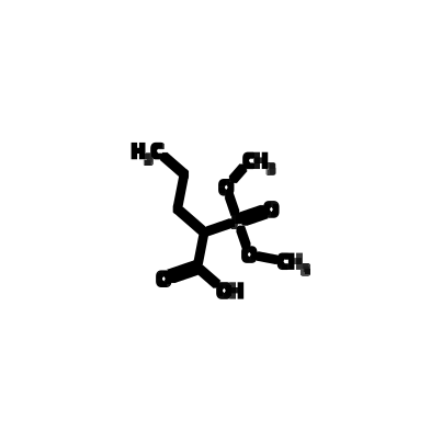 CCCC(C(=O)O)P(=O)(OC)OC